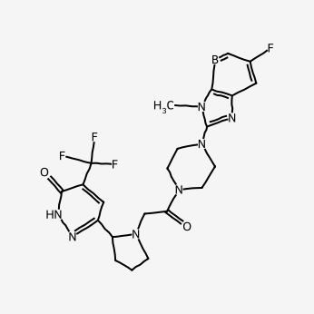 Cn1c(N2CCN(C(=O)CN3CCCC3c3cc(C(F)(F)F)c(=O)[nH]n3)CC2)nc2cc(F)cbc21